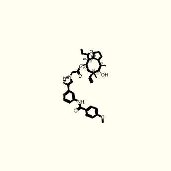 C=C[C@]1(C)C[C@@H](OC(=O)Cn2cc(-c3cccc(NC(=O)c4ccc(OC)cc4)c3)nn2)[C@](C)(C(C)CC)[C@@H]2C(=O)CCC2[C@@H](C)[C@@H]1O